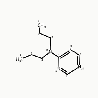 CCCN(CCC)c1n[c]ncn1